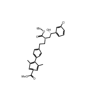 COC(=O)c1cc(C)c(-c2ccc(CCN(C[C@H](O)c3cccc(Cl)c3)C(=O)OC(C)(C)C)cc2)c(C)c1